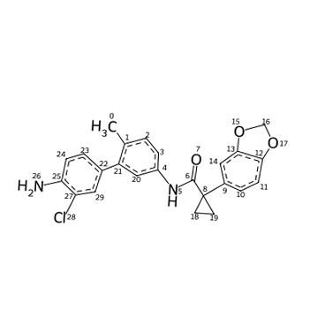 Cc1ccc(NC(=O)C2(c3ccc4c(c3)OCO4)CC2)cc1-c1ccc(N)c(Cl)c1